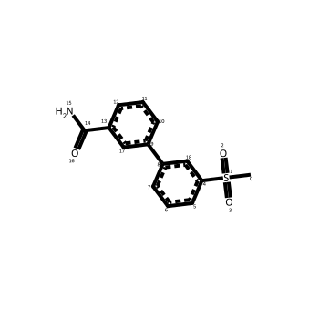 CS(=O)(=O)c1cccc(-c2cccc(C(N)=O)c2)c1